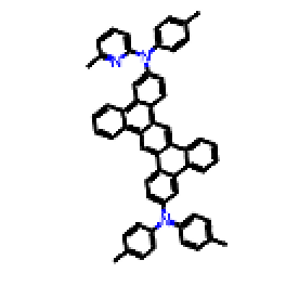 Cc1ccc(N(c2ccc(C)cc2)c2ccc3c(c2)c2ccccc2c2cc4c5ccc(N(c6ccc(C)cc6)c6cccc(C)n6)cc5c5ccccc5c4cc32)cc1